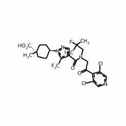 CC(C)(F)CN(CC(=O)c1c(Cl)cncc1Cl)C(=O)c1cnn([C@H]2CC[C@](C)(C(=O)O)CC2)c1C(F)(F)F